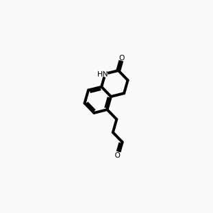 O=CCCc1cccc2c1CCC(=O)N2